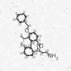 CCc1c(OCc2ccccc2)ccc(Cl)c1-c1c(F)cccc1NCCN